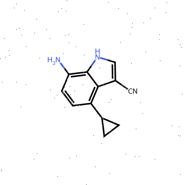 N#Cc1c[nH]c2c(N)ccc(C3CC3)c12